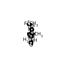 CNc1nc(NC2(C)CCOCC2)nn2ccc(-c3ccc4nc(C)n(CC(F)F)c4n3)c12